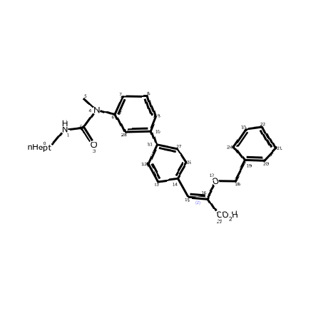 CCCCCCCNC(=O)N(C)c1cccc(-c2ccc(/C=C(\OCc3ccccc3)C(=O)O)cc2)c1